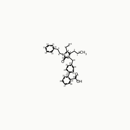 CCCc1c(CF)n(CCc2ccccc2)c(=O)n1Cc1ccc(-c2ccccc2C(=O)O)cc1